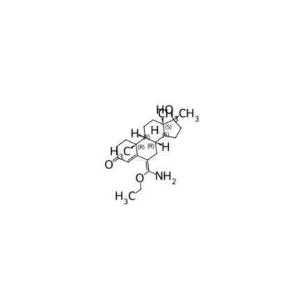 CCOC(N)=C1C[C@@H]2[C@@H](CC[C@@]3(C)[C@H]2CCC3(C)O)[C@@]2(C)CCC(=O)C=C12